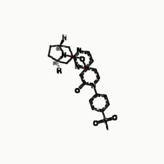 CS(=O)(=O)c1ccc(-n2ccc(OC3C[C@H]4CC[C@H](C3)N4c3ncccn3)cc2=O)cc1